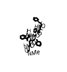 CNC(=O)CNC(=O)[C@H](Cc1c[nH]c2ccccc12)NC(=O)[C@@H](CC1CCCCC1)NC(=O)[C@@H]1CCCN1C(=O)[C@H](C)NC(=O)[C@@H](C)Cc1ccccc1